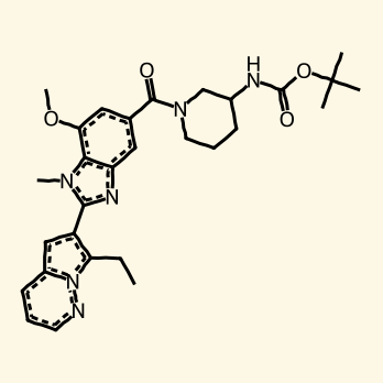 CCc1c(-c2nc3cc(C(=O)N4CCCC(NC(=O)OC(C)(C)C)C4)cc(OC)c3n2C)cc2cccnn12